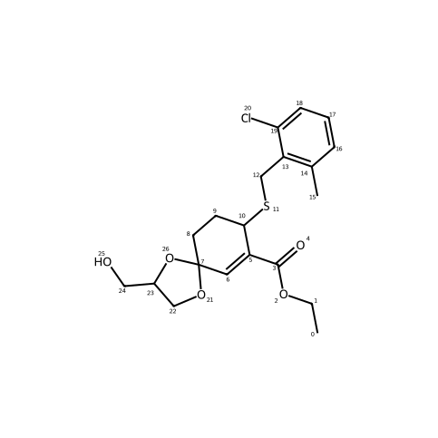 CCOC(=O)C1=CC2(CCC1SCc1c(C)cccc1Cl)OCC(CO)O2